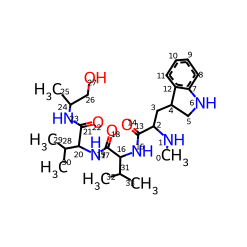 CNC(CC1CNc2ccccc21)C(=O)NC(C(=O)NC(C(=O)NC(C)CO)C(C)C)C(C)C